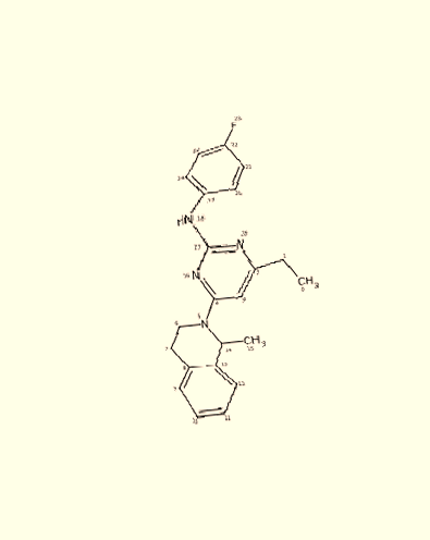 CCc1cc(N2CCc3ccccc3C2C)nc(Nc2ccc(F)cc2)n1